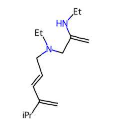 C=C(CN(CC)C/C=C/C(=C)C(C)C)NCC